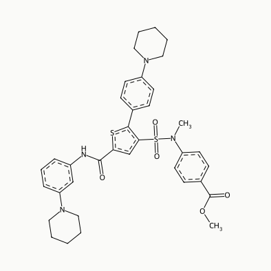 COC(=O)c1ccc(N(C)S(=O)(=O)c2cc(C(=O)Nc3cccc(N4CCCCC4)c3)sc2-c2ccc(N3CCCCC3)cc2)cc1